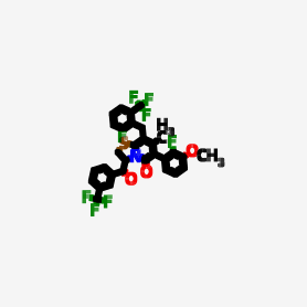 COc1cccc(-c2c(C)c(Cc3c(F)cccc3C(F)(F)F)c3n(c2=O)C(C(=O)c2cccc(C(F)(F)F)c2)CS3)c1F